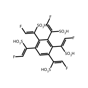 O=S(=O)(O)C(=CF)c1[c]c(C(=CF)S(=O)(=O)O)c(C(=CF)S(=O)(=O)O)c(C(=CF)S(=O)(=O)O)c1C(=CF)S(=O)(=O)O